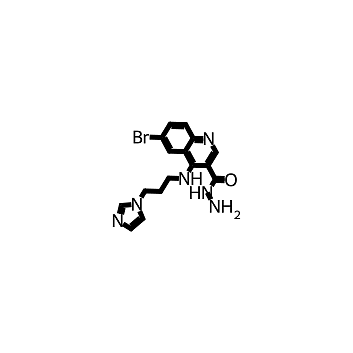 NNC(=O)c1cnc2ccc(Br)cc2c1NCCCn1ccnc1